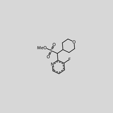 COS(=O)(=O)C(c1ncccc1F)C1CCOCC1